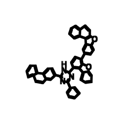 c1ccc(C2=NC(c3ccc(-c4ccc5oc6ccc7ccccc7c6c5c4)c4oc5ccccc5c34)NC(c3ccc4c(ccc5ccccc54)c3)=N2)cc1